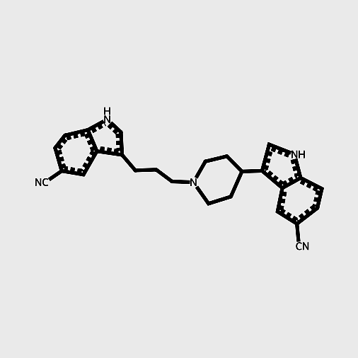 N#Cc1ccc2[nH]cc(CCCN3CCC(c4c[nH]c5ccc(C#N)cc45)CC3)c2c1